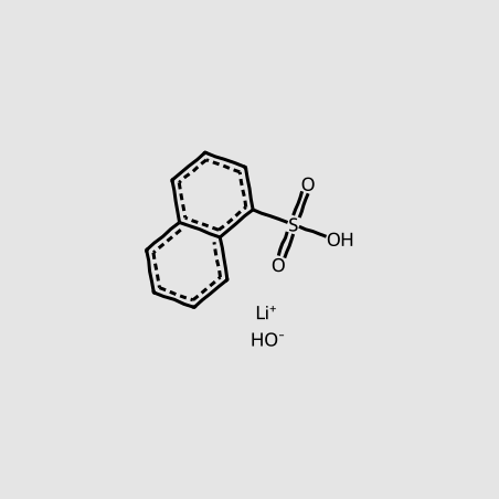 O=S(=O)(O)c1cccc2ccccc12.[Li+].[OH-]